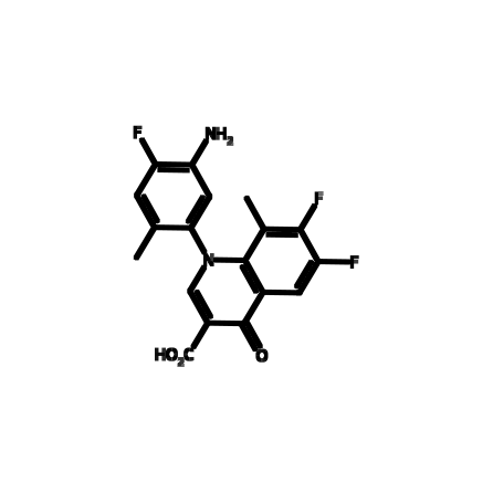 Cc1cc(F)c(N)cc1-n1cc(C(=O)O)c(=O)c2cc(F)c(F)c(C)c21